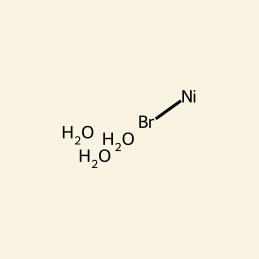 O.O.O.[Ni][Br]